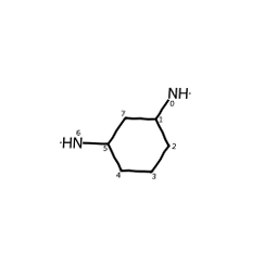 [NH]C1CCCC([NH])C1